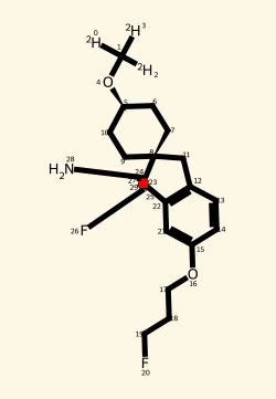 [2H]C([2H])([2H])O[C@H]1CC[C@@]2(CC1)Cc1ccc(OCCCF)cc1C21C=C(F)C(N)=N1